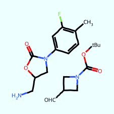 CC(C)(C)OC(=O)N1CC(C=O)C1.Cc1ccc(N2CC(CN)OC2=O)cc1F